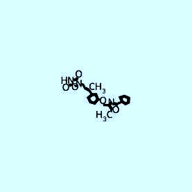 CC(=CCn1oc(=O)[nH]c1=O)c1cccc(OCc2nc(-c3ccccc3)oc2C)c1